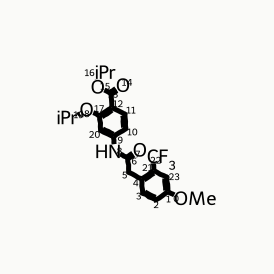 COc1ccc(CC(=O)Nc2ccc(C(=O)OC(C)C)c(OC(C)C)c2)c(C(F)(F)F)c1